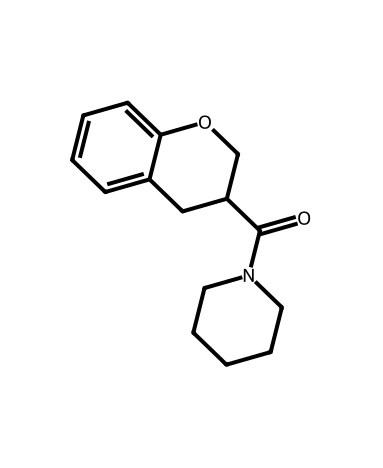 O=C(C1COc2ccccc2C1)N1CCCCC1